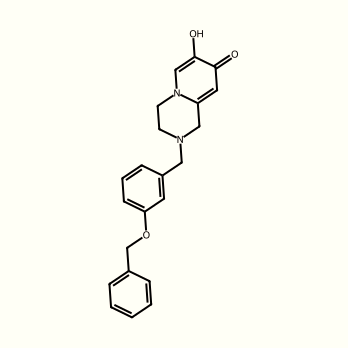 O=c1cc2n(cc1O)CCN(Cc1cccc(OCc3ccccc3)c1)C2